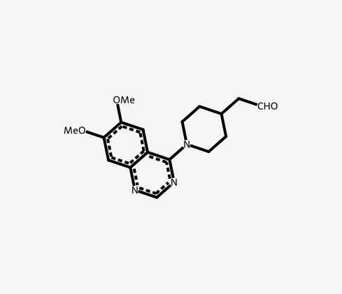 COc1cc2ncnc(N3CCC(CC=O)CC3)c2cc1OC